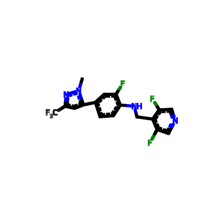 Cn1nc(C(F)(F)F)cc1-c1ccc(NCc2c(F)cncc2F)c(F)c1